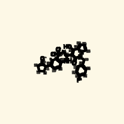 O=c1c(C2=NS(=O)(=O)c3cc(C4CCC[S+]4[O-])ccc3N2)c(O)c2cccn2n1Cc1ccc(F)cc1